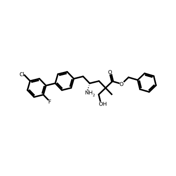 CC(CO)(C[C@H](N)Cc1ccc(-c2cc(Cl)ccc2F)cc1)C(=O)OCc1ccccc1